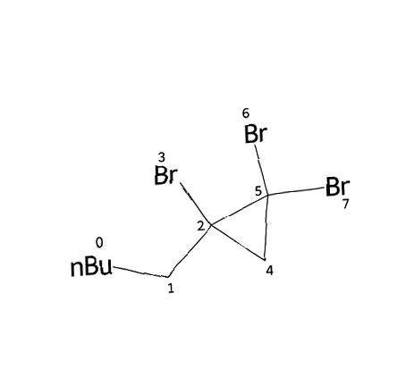 CCCCCC1(Br)CC1(Br)Br